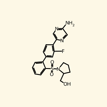 Nc1cnc(-c2ccc(-c3ccccc3S(=O)(=O)N3CCCC3CO)cc2F)cn1